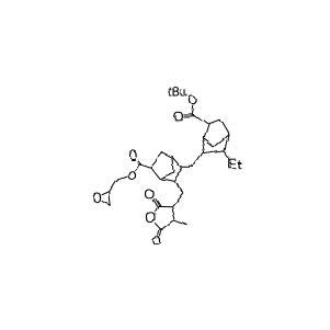 CCC1C2CC(C(=O)OC(C)(C)C)C(C2)C1CC1C2CC(C(=O)OCC3CO3)C(C2)C1CC1C(=O)OC(=O)C1C